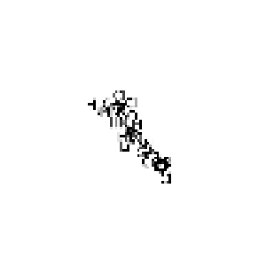 Cc1[nH]c(C(=O)N[C@@H]2[C@@H]3CN(c4nc(Cc5ccc(Cl)cc5)c(C(=O)[O-])s4)C[C@@H]32)c(Cl)c1Cl.[Li+]